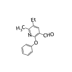 CCc1cc(C=O)c(Oc2ccccc2)nc1C